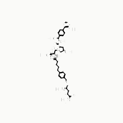 Cc1ncsc1-c1ccc([C@H](C)NC(=O)[C@@H]2C[C@@H](O)CN2C(=O)[C@@H](NC(=O)CCCCc2ccc(COC[C@@H](N)CCC(N)=O)cc2)C(C)(C)C)cc1